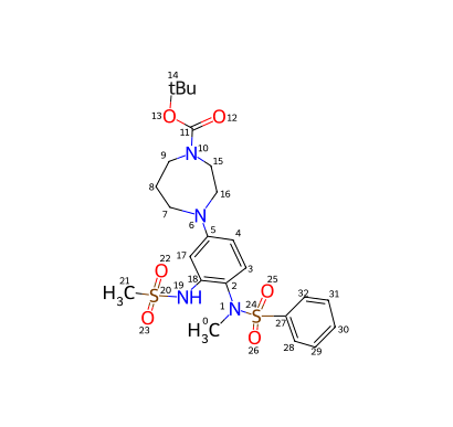 CN(c1ccc(N2CCCN(C(=O)OC(C)(C)C)CC2)cc1NS(C)(=O)=O)S(=O)(=O)c1ccccc1